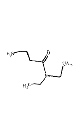 CCN(CC)C(=O)CCN